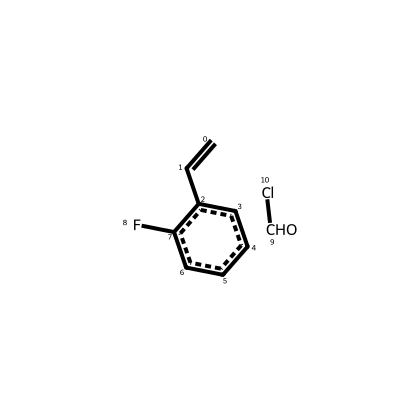 C=Cc1ccccc1F.O=CCl